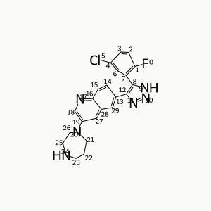 Fc1ccc(Cl)cc1-c1[nH]nnc1-c1ccc2ncc(N3CCCNCC3)cc2c1